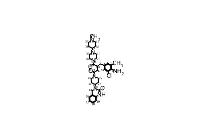 Cc1cc(C[C@@H](CC(=O)N2CCC(N3Cc4ccccc4NC3=O)CC2)C(=O)N2CCN(C3CCN(C)CC3)CC2)cc(Cl)c1N